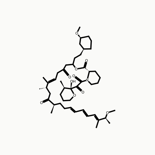 CO[C@H]1CCC[C@@H](CCC(CC(=O)C/C=C(\C)[C@@H](C)CC(=O)[C@H](C)CC/C=C/C=C/C=C(\C)[C@H](C)OC)OC(=O)[C@@H]2CCCCN2C(=O)C(=O)[C@]2(O)OCCC[C@H]2C)C1